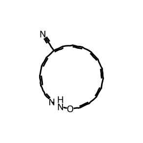 N#Cc1ccccccccccco[nH]nccccc1